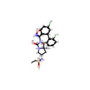 CC/[SH](=O)=N\[C@H]1C[C@H]2CN(c3noc4cc(F)cc(-c5c(F)cccc5F)c34)C(=O)N2C1